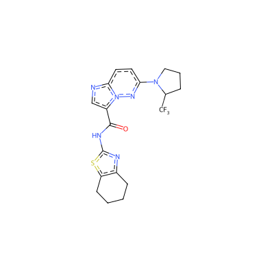 O=C(Nc1nc2c(s1)CCCC2)c1cnc2ccc(N3CCCC3C(F)(F)F)nn12